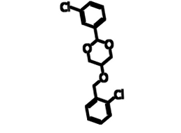 Clc1cccc(C2OCC(OCc3ccccc3Cl)CO2)c1